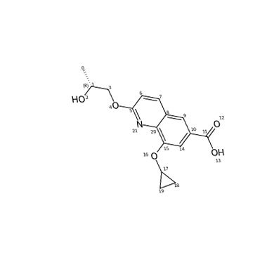 C[C@@H](O)COc1ccc2cc(C(=O)O)cc(OC3CC3)c2n1